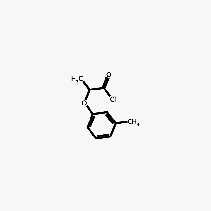 Cc1cccc(OC(C)C(=O)Cl)c1